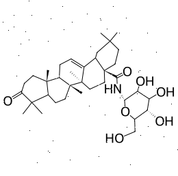 CC1(C)CC[C@]2(C(=O)N[C@H]3OC(CO)[C@@H](O)C(O)C3O)CC[C@]3(C)C(=CCC4[C@@]5(C)CCC(=O)C(C)(C)C5CC[C@]43C)C2C1